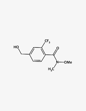 CON(C)C(=O)c1ccc(CO)cc1C(F)(F)F